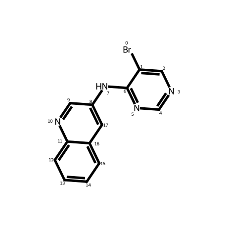 Brc1cncnc1Nc1cnc2ccccc2c1